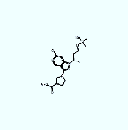 COC(=O)C1CCN(c2nn([C@@H](C)CCO[Si](C)(C)C(C)(C)C)c3cc(Cl)ncc23)C1